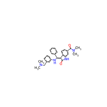 CN(C)Cc1cccc(N/C(=C2\C(=O)Nc3cc(C(=O)N(C)C)ccc32)c2ccccc2)c1